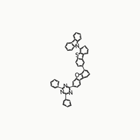 c1ccc(-c2nc(-c3ccccc3)nc(-c3ccc4c(c3)oc3c(-c5ccc6sc7c(-n8c9ccccc9c9ccccc98)cccc7c6c5)cccc34)n2)cc1